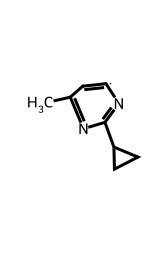 Cc1c[c]nc(C2CC2)n1